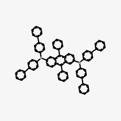 c1ccc(-c2ccc(N(c3ccc(-c4ccccc4)cc3)c3ccc4c(-c5ccccc5)c5cc(N(c6ccc(-c7ccccc7)cc6)c6ccc(-c7ccccc7)cc6)ccc5c(-c5ccccc5)c4c3)cc2)cc1